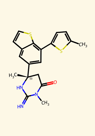 Cc1ccc(-c2cc([C@]3(C)CC(=O)N(C)C(=N)N3)cc3ccsc23)s1